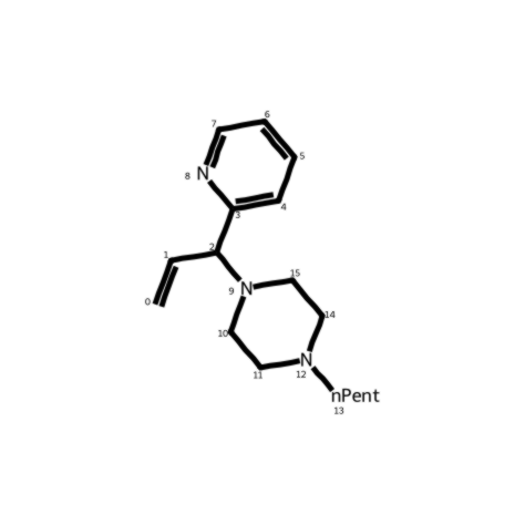 C=CC(c1ccccn1)N1CCN(CCCCC)CC1